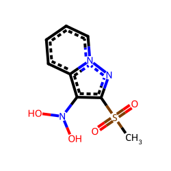 CS(=O)(=O)c1nn2ccccc2c1N(O)O